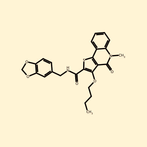 CCCCOc1c(C(=O)NCc2ccc3c(c2)OCO3)sc2c1c(=O)n(C)c1ccccc21